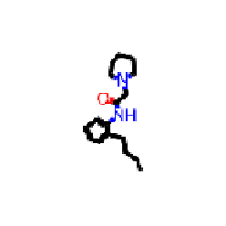 CCCCc1ccccc1NC(=O)CN1CCCCC1